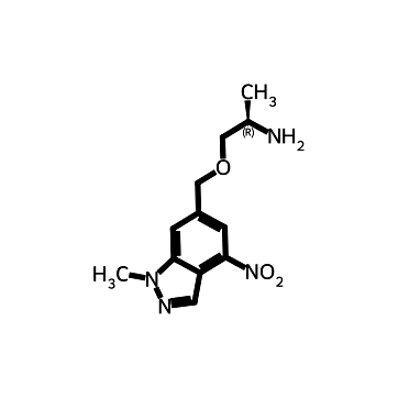 C[C@@H](N)COCc1cc([N+](=O)[O-])c2cnn(C)c2c1